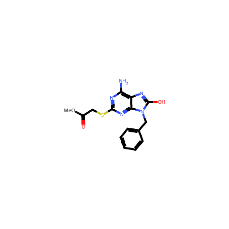 COC(=O)CSc1nc(N)c2nc(O)n(Cc3ccccc3)c2n1